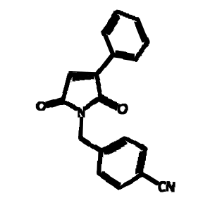 N#Cc1ccc(CN2C(=O)C=C(c3ccccc3)C2=O)cc1